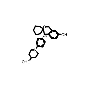 O=CC1CCN(c2ccc([C@H]3c4ccc(O)cc4COC34CCCCC4)cc2)CC1